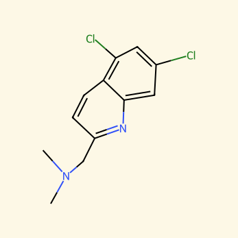 CN(C)Cc1ccc2c(Cl)cc(Cl)cc2n1